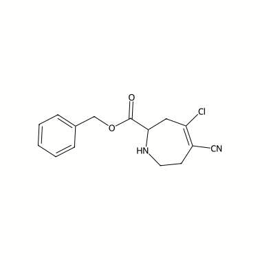 N#CC1=C(Cl)CC(C(=O)OCc2ccccc2)NCC1